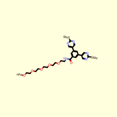 CCCOCCOCCOCCOCCOCCNC(=O)c1cc(-c2cnc(SC)nc2)cc(-c2cnc(SC)nc2)c1